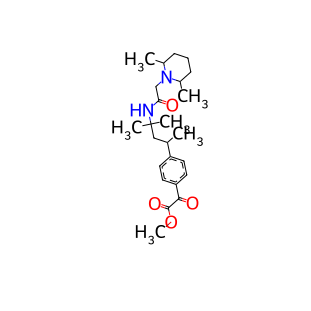 COC(=O)C(=O)c1ccc(C(C)CC(C)(C)NC(=O)CN2C(C)CCCC2C)cc1